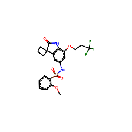 COc1ccccc1S(=O)(=O)Nc1cc(OCCC(F)(F)F)c2c(c1)C1(CCC1)C(=O)N2